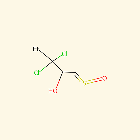 CCC(Cl)(Cl)C(O)C=S=O